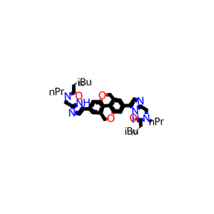 CCCN(Cc1ncc(-c2cc3c4c(c2)OCc2cc(-c5cnc(CN(CCC)C(=O)C[C@@H](C)CC)[nH]5)cc(c2-4)OC3)[nH]1)C(=O)C[C@@H](C)CC